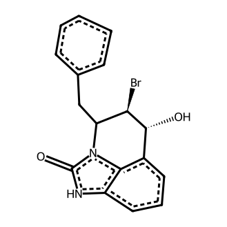 O=c1[nH]c2cccc3c2n1C(Cc1ccccc1)[C@@H](Br)[C@@H]3O